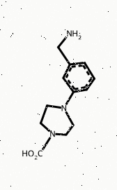 NCc1cccc(N2CCN(C(=O)O)CC2)c1